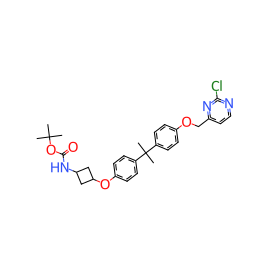 CC(C)(C)OC(=O)NC1CC(Oc2ccc(C(C)(C)c3ccc(OCc4ccnc(Cl)n4)cc3)cc2)C1